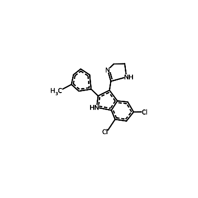 Cc1cccc(-c2[nH]c3c(Cl)cc(Cl)cc3c2C2=NCCN2)c1